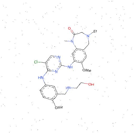 CCN1CC(=O)N(C)c2cc(Nc3ncc(Cl)c(Nc4ccc(OC)c(CNCCO)c4)n3)c(OC)cc2C1